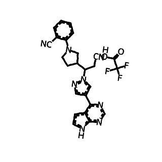 N#CCC(C1CCN(c2ccccc2C#N)C1)n1cc(-c2ncnc3[nH]ccc23)cn1.O=C(O)C(F)(F)F